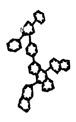 c1ccc(-c2cnc(-c3ccccc3)c(-c3ccc(-c4ccc5c(-c6ccc7ccccc7c6)c6ccccc6c(-c6ccc7ccccc7c6)c5c4)cc3)c2)cc1